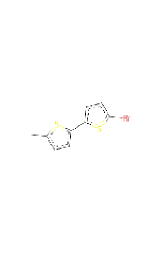 Cc1ccc(-c2ccc(Br)s2)s1